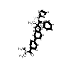 CN(C)C(=O)c1ccc(-c2ccc3c(c2)C[C@](C)(C(=O)Nc2nccs2)[C@@H]3c2ccccc2)cc1